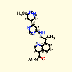 CNC(=O)c1ccnc2c([C@H](C)CNc3cc(-c4cnnc(C)c4)ncn3)cccc12